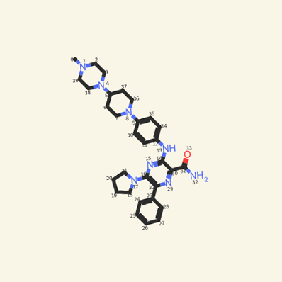 CN1CCN(C2CCN(c3ccc(Nc4nc(N5CCCC5)c(-c5ccccc5)nc4C(N)=O)cc3)CC2)CC1